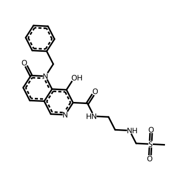 CS(=O)(=O)CNCCNC(=O)c1ncc2ccc(=O)n(Cc3ccccc3)c2c1O